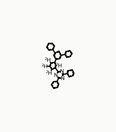 [2H]c1c([2H])c(-c2cc(-c3ccccc3)cc(-c3ccccc3)c2)c([2H])c(-c2nc(-c3ccccc3)nc(-c3ccccc3)n2)c1[2H]